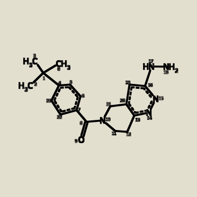 CC(C)(C)c1ccc(C(=O)N2CCc3nnc(NN)cc3C2)cc1